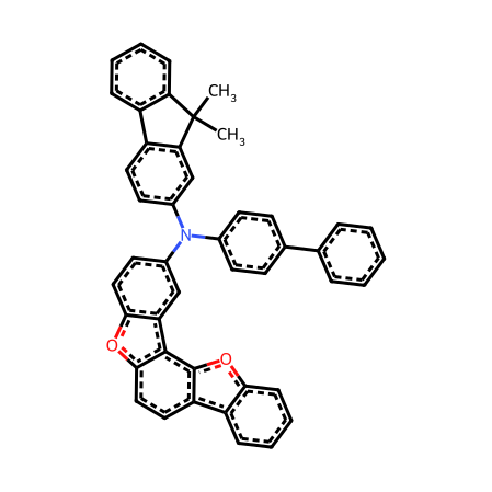 CC1(C)c2ccccc2-c2ccc(N(c3ccc(-c4ccccc4)cc3)c3ccc4oc5ccc6c7ccccc7oc6c5c4c3)cc21